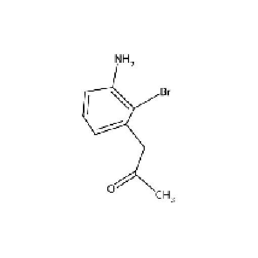 CC(=O)Cc1cccc(N)c1Br